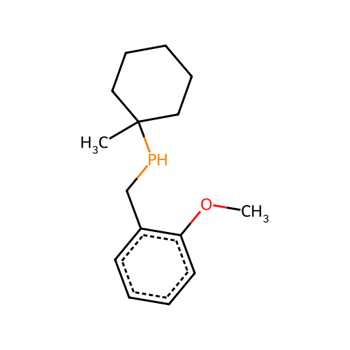 COc1ccccc1CPC1(C)CCCCC1